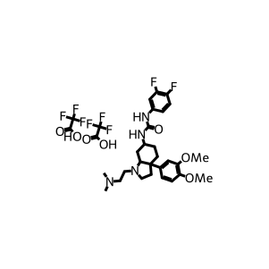 COc1ccc(C23CCC(NC(=O)Nc4ccc(F)c(F)c4)CC2N(CCN(C)C)CC3)cc1OC.O=C(O)C(F)(F)F.O=C(O)C(F)(F)F